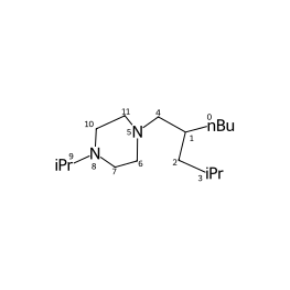 CCCCC(CC(C)C)CN1CCN(C(C)C)CC1